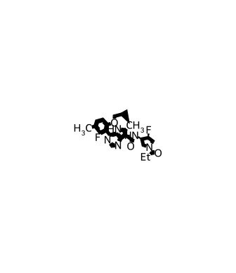 CCC(=O)N1C[C@H](F)[C@H](NC(=O)c2c(C)[nH]c3c(-c4c(OCC5CC5)ccc(C)c4F)ncnc23)C1